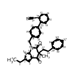 CCc1cc2c(s1)N(Cc1ccc(-c3ccccc3C#N)cc1)C(=O)C(C)(CCc1ccccc1)C2=O